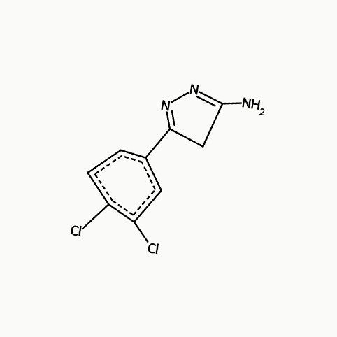 NC1=NN=C(c2ccc(Cl)c(Cl)c2)C1